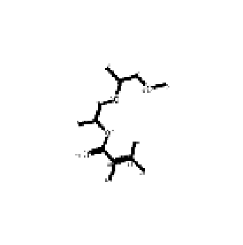 COCC(C)OCC(C)OC(=O)C(C)=C(C)C